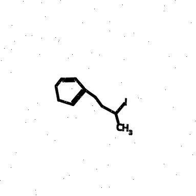 CC(I)CCC1=CCCC=C1